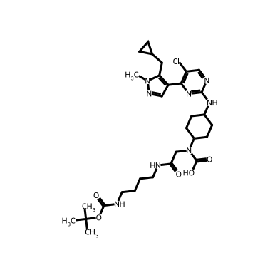 Cn1ncc(-c2nc(NC3CCC(N(CC(=O)NCCCCNC(=O)OC(C)(C)C)C(=O)O)CC3)ncc2Cl)c1CC1CC1